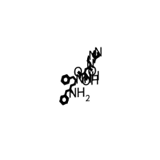 NC(CCC(Cc1ccccc1)NC(=O)C(CC(=O)N1CCn2cncc2C1)NO)Cc1ccccc1